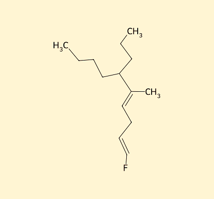 CCCCC(CCC)/C(C)=C/C/C=C/F